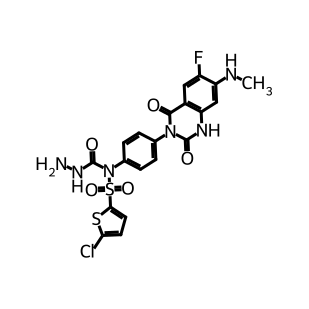 CNc1cc2[nH]c(=O)n(-c3ccc(N(C(=O)NN)S(=O)(=O)c4ccc(Cl)s4)cc3)c(=O)c2cc1F